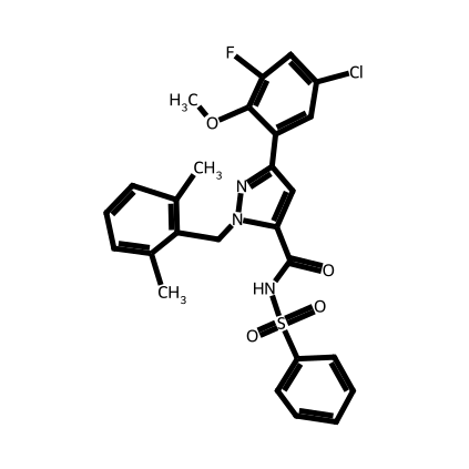 COc1c(F)cc(Cl)cc1-c1cc(C(=O)NS(=O)(=O)c2ccccc2)n(Cc2c(C)cccc2C)n1